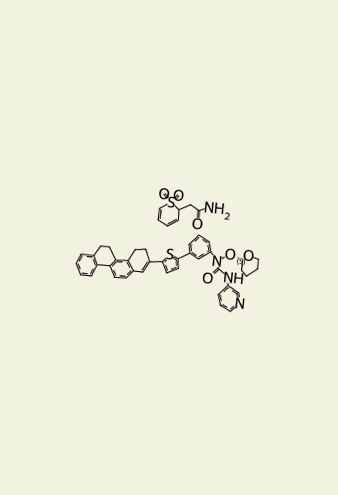 NC(=O)CC1C=CC=CS1(=O)=O.O=C(Nc1cccnc1)N(O[C@H]1CCCCO1)c1cccc(-c2ccc(C3=Cc4ccc5c(c4CC3)CCc3ccccc3-5)s2)c1